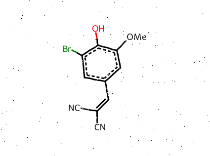 COc1cc(C=C(C#N)C#N)cc(Br)c1O